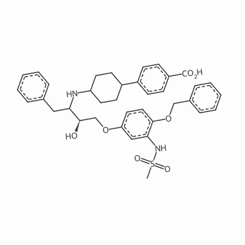 CS(=O)(=O)Nc1cc(OC[C@@H](O)C(Cc2ccccc2)NC2CCC(c3ccc(C(=O)O)cc3)CC2)ccc1OCc1ccccc1